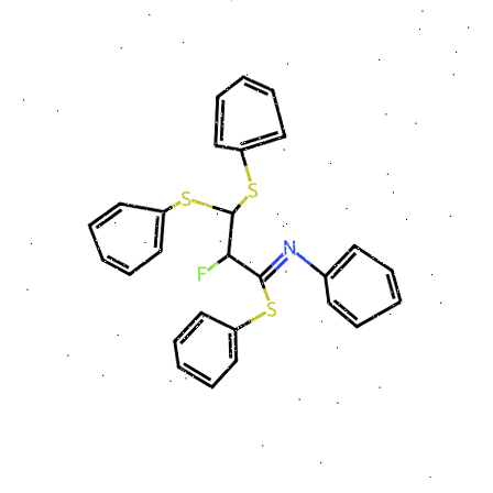 FC(C(=Nc1ccccc1)Sc1ccccc1)C(Sc1ccccc1)Sc1ccccc1